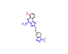 COc1cccc2c1nc(N)n1nc(CC[C@H]3CCc4c(nnn4C(C)C)C3)nc21